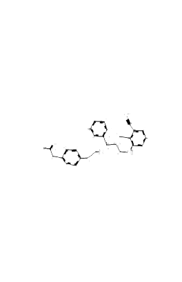 N#Cc1cccc2c1C[C@@H]([C@H](NCCc1ccc(CC(=O)O)cc1)c1ccccc1)CN2